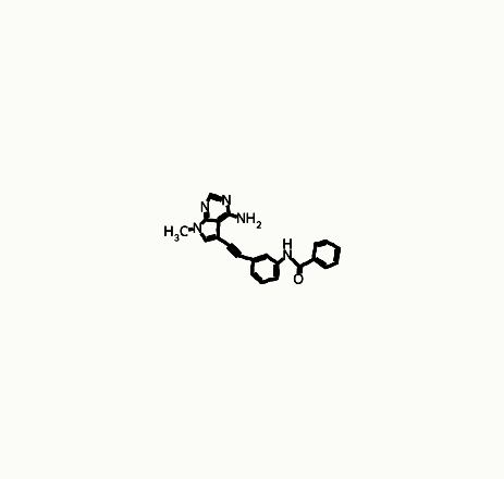 Cn1cc(C#Cc2cccc(NC(=O)c3ccccc3)c2)c2c(N)ncnc21